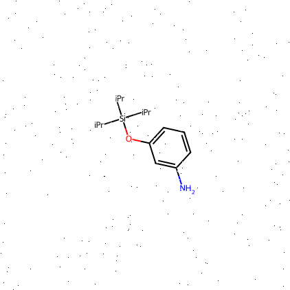 CC(C)[Si](Oc1cccc(N)c1)(C(C)C)C(C)C